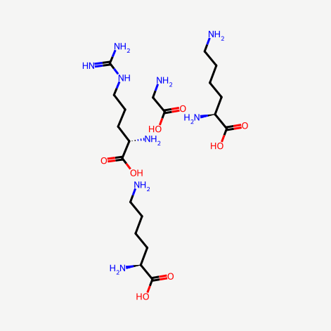 N=C(N)NCCC[C@H](N)C(=O)O.NCC(=O)O.NCCCC[C@H](N)C(=O)O.NCCCC[C@H](N)C(=O)O